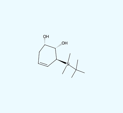 CC(C)(C)[Si](C)(C)[C@H]1C=CC[C@H](O)[C@@H]1O